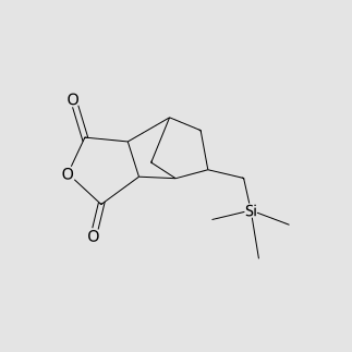 C[Si](C)(C)CC1CC2CC1C1C(=O)OC(=O)C21